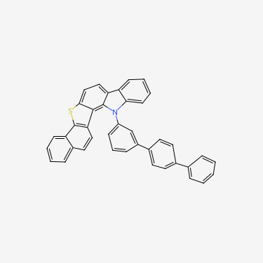 c1ccc(-c2ccc(-c3cccc(-n4c5ccccc5c5ccc6sc7c8ccccc8ccc7c6c54)c3)cc2)cc1